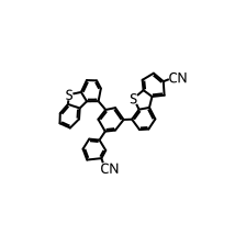 N#Cc1cccc(-c2cc(-c3cccc4c3sc3ccc(C#N)cc34)cc(-c3cccc4sc5ccccc5c34)c2)c1